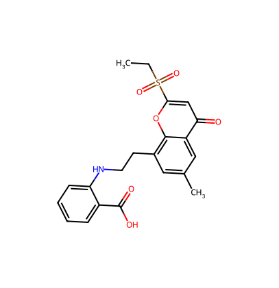 CCS(=O)(=O)c1cc(=O)c2cc(C)cc(CCNc3ccccc3C(=O)O)c2o1